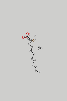 CCCCCCCCCCC(SC)C(=O)[O-].[Na+]